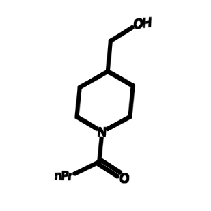 CCCC(=O)N1CCC(CO)CC1